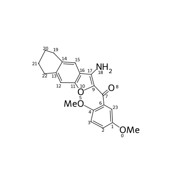 COc1ccc(OC)c(C(=O)c2oc3cc4c(cc3c2N)CCCC4)c1